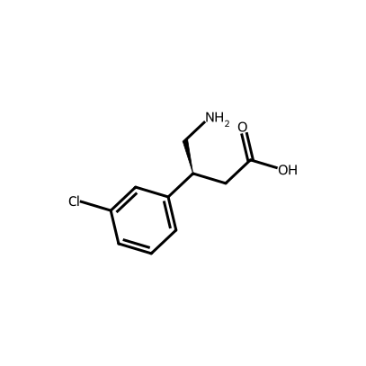 NC[C@@H](CC(=O)O)c1cccc(Cl)c1